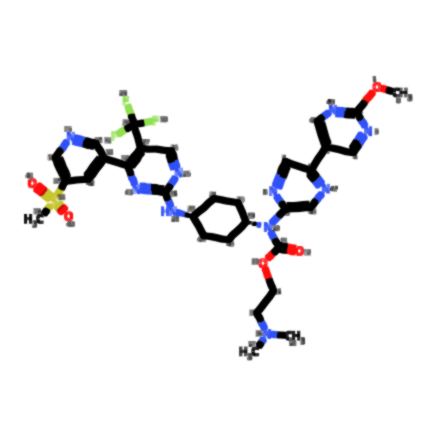 COc1ncc(-c2cnc(N(C(=O)OCCN(C)C)[C@H]3CC[C@H](Nc4ncc(C(F)(F)F)c(-c5cncc(S(C)(=O)=O)c5)n4)CC3)cn2)cn1